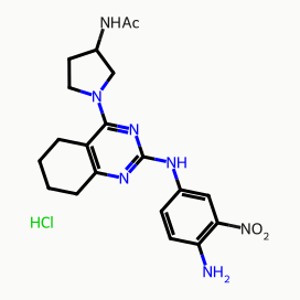 CC(=O)NC1CCN(c2nc(Nc3ccc(N)c([N+](=O)[O-])c3)nc3c2CCCC3)C1.Cl